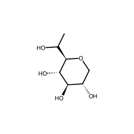 CC(O)[C@H]1OC[C@H](O)[C@@H](O)[C@@H]1O